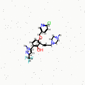 CN1CCN(CC#Cc2c(OCc3ccc(Cl)nc3)ccc(-c3cc(C(F)(F)F)nn3C)c2O)CC1